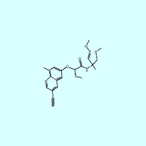 C#Cc1cnc2c(C)cc(OC(SC)C(=O)NC(C)(C=NOC)COC)cc2c1